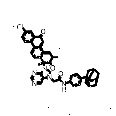 CC1C=c2c(ccc3c2=CC(=O)c2cc(Cl)ccc2-3)C(C)(N2CN(CC(=O)Nc3ccc(C45CC6CC(CC(C6)C4)C5)cc3)c3cncnc32)C1=O